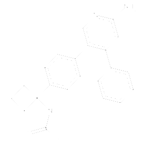 Nc1cc(-c2ccccc2)c(-c2ccc(C3(NC(=O)O)CCC3)cc2)cn1